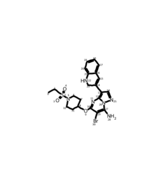 CCS(=O)(=O)N1CCC(Oc2nc3c(C4=Cc5ccccc5NC4)cnn3c(N)c2Br)CC1